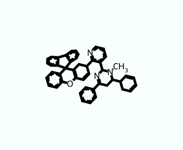 CN1C(c2cccnc2C2C=CC3=C(C2)C2(c4ccccc4O3)c3ccccc3-c3ccccc32)N=C(c2ccccc2)CC1C1C=CC=CC1